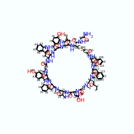 CCCC[C@H]1C(=O)N(C)CC(=O)N[C@@H](CC(=O)O)C(=O)N[C@@H](C(C)C)C(=O)N(C)[C@@H](Cc2ccccc2)C(=O)N[C@@H](Cc2ccc(O)cc2)C(=O)N(C)CC(=O)N[C@@H](Cc2c[nH]c3ccccc23)C(=O)N[C@@H](Cc2ccc(O)cc2)C(=O)N[C@@H](CC(C)C)C(=O)N[C@H](C(=O)NCC(N)=O)CSCC(=O)N[C@@H](Cc2ccco2)C(=O)N(C)[C@@H](Cc2ccccc2)C(=O)N1C